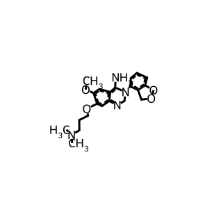 COc1cc2c(cc1OCCCN(C)C)=NCN(c1cccc3c1COO3)C=2N